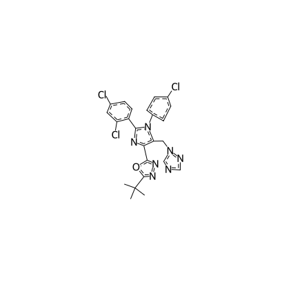 CC(C)(C)c1nnc(-c2nc(-c3ccc(Cl)cc3Cl)n(-c3ccc(Cl)cc3)c2Cn2cncn2)o1